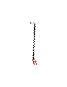 CCCCCCCCCCCCCCCCCCCCCCCCCCCCCCOC(=O)CO